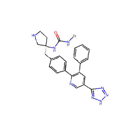 CCNC(=O)N[C@]1(Cc2ccc(-c3ncc(-c4nn[nH]n4)cc3-c3ccccc3)cc2)CCNC1